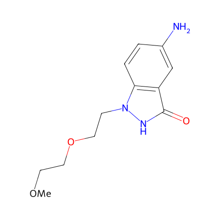 COCCOCCn1[nH]c(=O)c2cc(N)ccc21